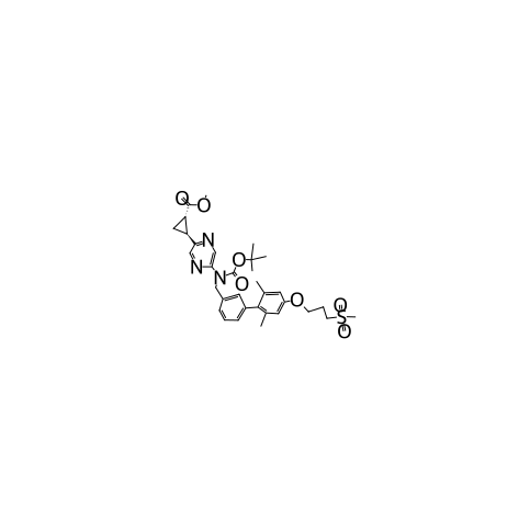 COC(=O)[C@H]1C[C@@H]1c1cnc(N(Cc2cccc(-c3c(C)cc(OCCCS(C)(=O)=O)cc3C)c2)C(=O)OC(C)(C)C)cn1